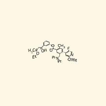 CCOP(C)C[C@@H](O)c1cccc(OC(=O)c2cc(CN(C(C)C)C(C)C)c(-c3cc(OC)ncc3F)cc2C)c1